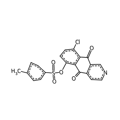 Cc1ccc(S(=O)(=O)Oc2ccc(Cl)c3c2C(=O)c2ccncc2C3=O)cc1